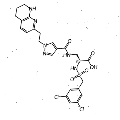 O=C(NC[C@H](NS(=O)(=O)Cc1cc(Cl)cc(Cl)c1)C(=O)O)c1cnn(CCc2ccc3c(n2)NCCC3)c1